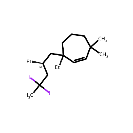 CC[C@H](CC(C)(I)I)CC1(CC)C=CC(C)(C)CCC1